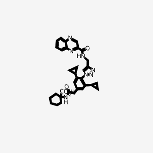 O=C(Cc1cc(C2CC2)c(-n2cc(CNC(=O)c3cnc4ccccc4n3)nn2)c(C2CC2)c1)NC1(C(=O)O)CCCCC1